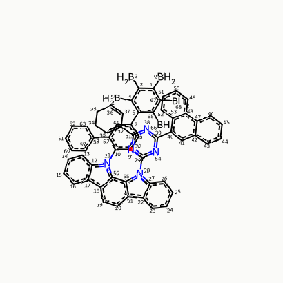 Bc1c(B)c(B)c(-c2ccc(-n3c4ccccc4c4ccc5c6ccccc6n(-c6nc(C7=CCCC=C7)nc(-c7cc8ccccc8c8ccccc78)n6)c5c43)c(-c3ccccc3)c2)c(B)c1B